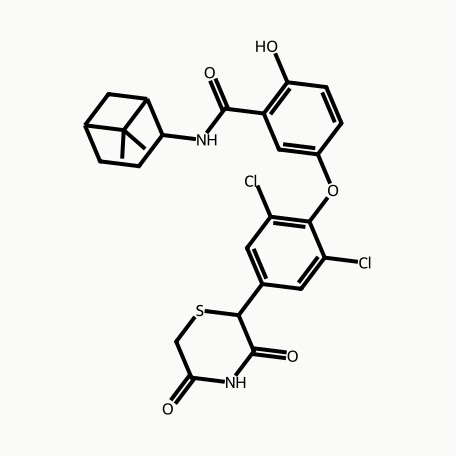 CC1(C)C2CCC(NC(=O)c3cc(Oc4c(Cl)cc(C5SCC(=O)NC5=O)cc4Cl)ccc3O)C1C2